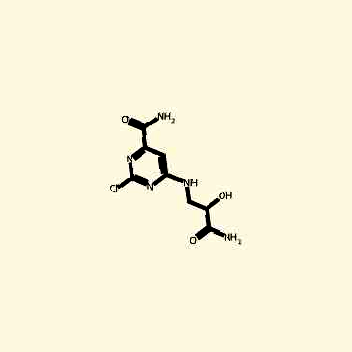 NC(=O)c1cc(NCC(O)C(N)=O)nc(Cl)n1